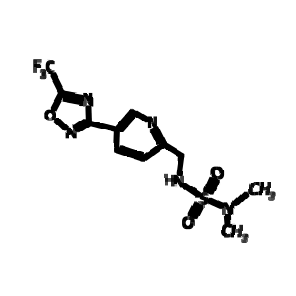 CN(C)S(=O)(=O)NCc1ccc(-c2noc(C(F)(F)F)n2)cn1